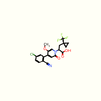 COc1cn(C(CC2(C(F)(F)F)CC2)C(=O)O)c(=O)cc1-c1cc(Cl)ccc1C#N